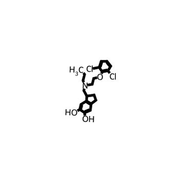 CCCN(CCOc1c(Cl)cccc1Cl)CC1CCc2cc(O)c(O)cc21